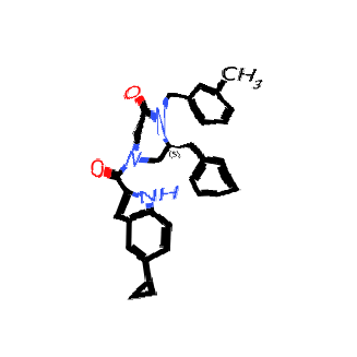 Cc1cccc(CN2C(=O)CN(C(=O)c3cc4cc(C5CC5)ccc4[nH]3)C[C@@H]2Cc2ccccc2)c1